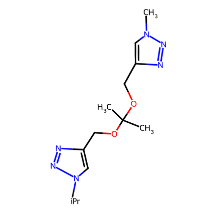 CC(C)n1cc(COC(C)(C)OCc2cn(C)nn2)nn1